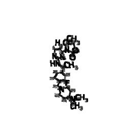 C[C@H](Nc1nccc(N2C(=O)OCC2(C)C)n1)c1ccc(CN2CCC(N(C)C)CC2)c(F)c1